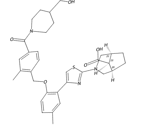 Cc1ccc(OCc2ccc(C(=O)N3CCC(CO)CC3)cc2C)c(-c2csc(N3C[C@H]4CC[C@@H](C3)[C@H]4C(=O)O)n2)c1